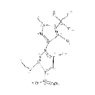 COc1cc(-c2nn(C)c(C(F)(F)F)c2Cl)c(F)cc1[N+](=O)[O-]